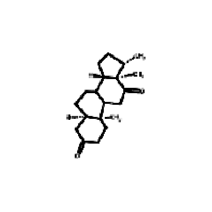 C[C@H]1CC[C@H]2C3CC[C@@H]4CC(=O)CC[C@]4(C)C3CC(=O)[C@]12C